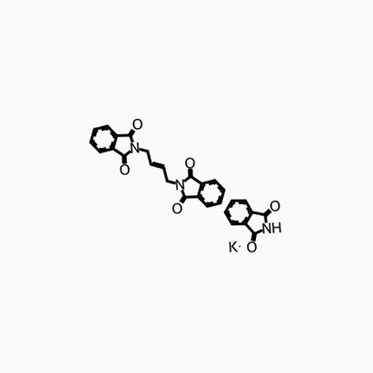 O=C1NC(=O)c2ccccc21.O=C1c2ccccc2C(=O)N1CC=CCN1C(=O)c2ccccc2C1=O.[K]